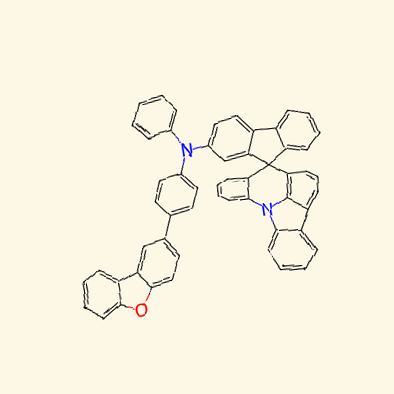 c1ccc(N(c2ccc(-c3ccc4oc5ccccc5c4c3)cc2)c2ccc3c(c2)C2(c4ccccc4-3)c3ccccc3-n3c4ccccc4c4cccc2c43)cc1